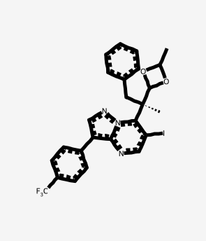 CC1OC([C@](C)(Cc2ccccc2)c2c(I)cnc3c(-c4ccc(C(F)(F)F)cc4)cnn23)O1